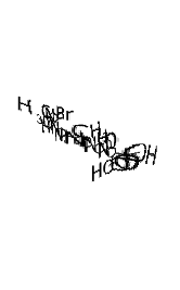 C[C@H]1CN([C@H]2CCN3c4cc(C(=O)O)c(C(=O)O)cc4OC[C@@H]3C2)CCN1c1ccc(Nc2cc(Br)cn(C)c2=O)nc1